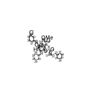 CON(C)C(=O)[C@H](CCC(=O)N(C)CCc1ccccc1)NC(=O)[C@H](CC1CCCCC1)NC(=O)OCc1cccc(Cl)c1